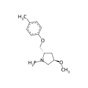 CO[C@@H]1C[C@@H](COc2ccc(C)cc2)N(P)C1